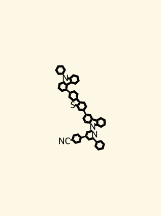 N#Cc1ccc(-c2cc(-c3ccccc3)nc(-n3c4ccccc4c4cc(-c5ccc6c(c5)sc5cc(-c7cccc8c7c7ccccc7n8-c7ccccc7)ccc56)ccc43)c2)cc1